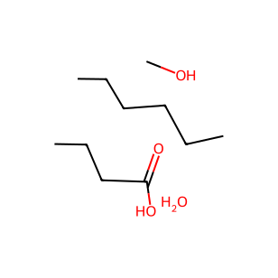 CCCC(=O)O.CCCCCC.CO.O